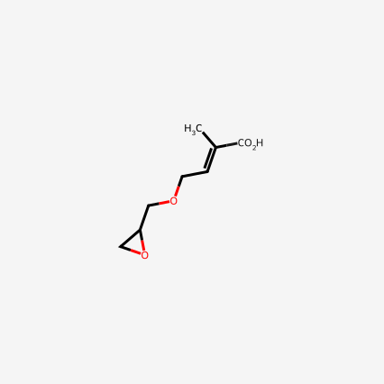 CC(=CCOCC1CO1)C(=O)O